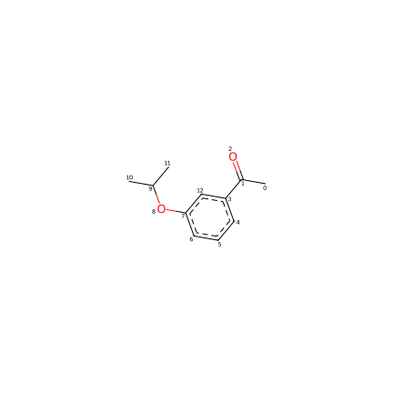 CC(=O)c1cccc(OC(C)C)c1